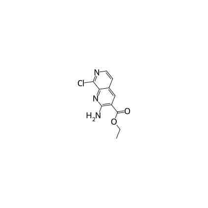 CCOC(=O)c1cc2ccnc(Cl)c2nc1N